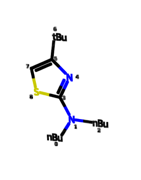 CCCCN(CCCC)c1nc(C(C)(C)C)cs1